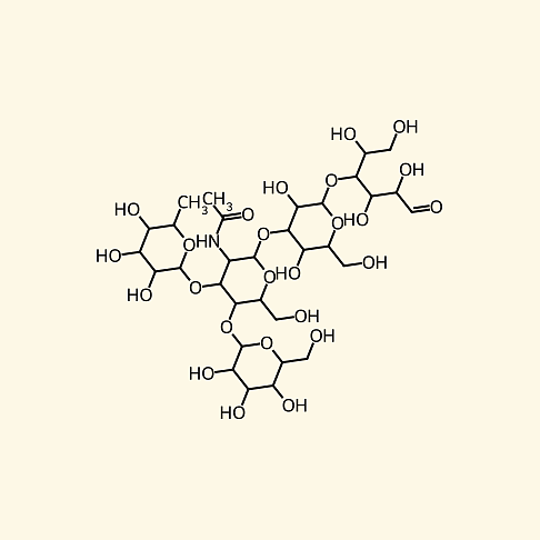 CC(=O)NC1C(OC2C(O)C(CO)OC(OC(C(O)CO)C(O)C(O)C=O)C2O)OC(CO)C(OC2OC(CO)C(O)C(O)C2O)C1OC1OC(C)C(O)C(O)C1O